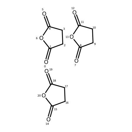 O=C1CCC(=O)O1.O=C1CCC(=O)O1.O=C1CCC(=O)O1